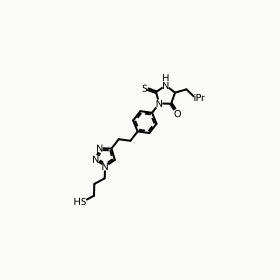 CC(C)CC1NC(=S)N(c2ccc(CCc3cn(CCCS)nn3)cc2)C1=O